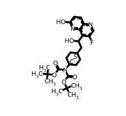 CC(C)(C)OC(=O)N(C(=O)OC(C)(C)C)C12CCC(CC(O)c3c(F)cnc4ccc(O)nc34)(CC1)SC2